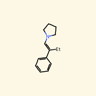 CCC(=CN1CCCC1)c1ccccc1